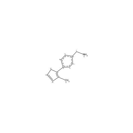 CC1=C(c2ccc(CN)cc2)CC=C1